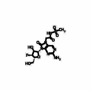 CS(=O)(=O)NC(=O)Cn1c(=O)n([C@@H]2O[C@H](CO)[C@@H](F)[C@H]2O)c2nc(N)ncc21